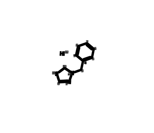 C1=NN(Cc2ccccc2)CS1.I